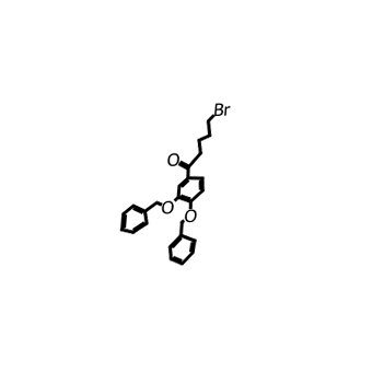 O=C(CCCCBr)c1ccc(OCc2ccccc2)c(OCc2ccccc2)c1